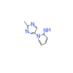 Cc1ncc(-n2ccccc2=N)cn1